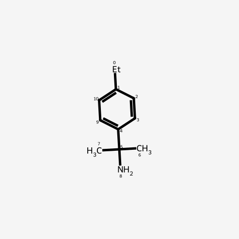 CCc1ccc(C(C)(C)N)cc1